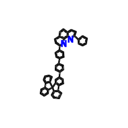 c1ccc(-c2ccc3ccc4ccc(-c5ccc(-c6ccc(-c7ccc8c(c7)C7(c9ccccc9-c9ccccc97)c7ccccc7-8)cc6)cc5)nc4c3n2)cc1